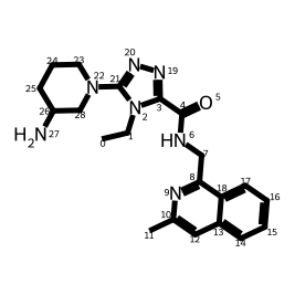 CCn1c(C(=O)NCc2nc(C)cc3ccccc23)nnc1N1CCCC(N)C1